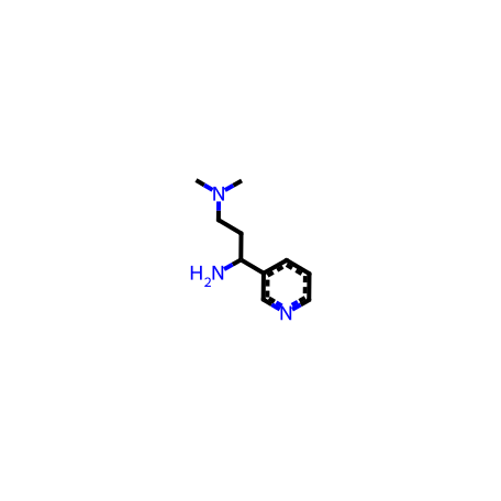 CN(C)CCC(N)c1cccnc1